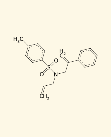 C=CCN(CC(=C)c1ccccc1)S(=O)(=O)c1ccc(C)cc1